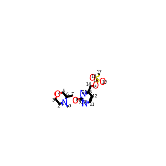 CN1CCOCC1COc1nccc(COS(C)(=O)=O)n1